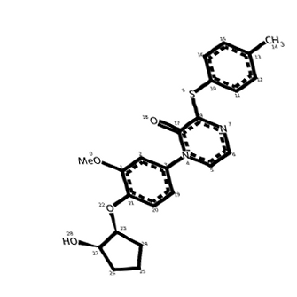 COc1cc(-n2ccnc(Sc3ccc(C)cc3)c2=O)ccc1O[C@H]1CCC[C@H]1O